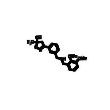 COc1cccc(CNCc2cccc(C3=NOC(O)(C(F)(F)F)C3)c2)c1OC